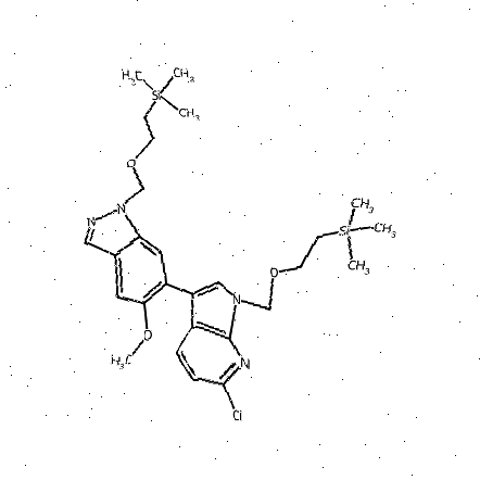 COc1cc2cnn(COCC[Si](C)(C)C)c2cc1-c1cn(COCC[Si](C)(C)C)c2nc(Cl)ccc12